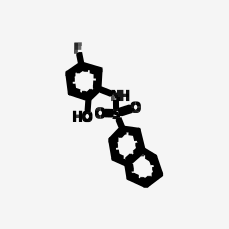 O=S(=O)(Nc1cc(F)ccc1O)c1ccc2ccccc2c1